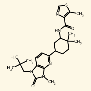 Cc1scnc1C(=O)NC1CC(c2ccc3c(n2)n(C)c(=O)n3CC(C)(C)C)CCC1(C)C